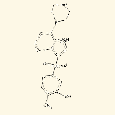 Cc1ccc(S(=O)(=O)c2c[nH]c3c(N4CCNCC4)cccc23)cc1O